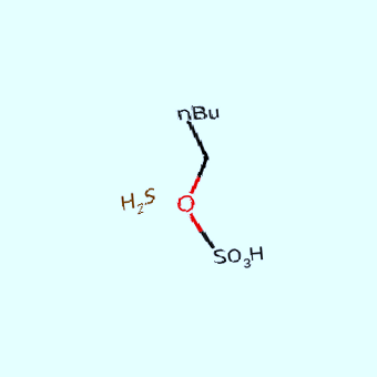 CCCCCOS(=O)(=O)O.S